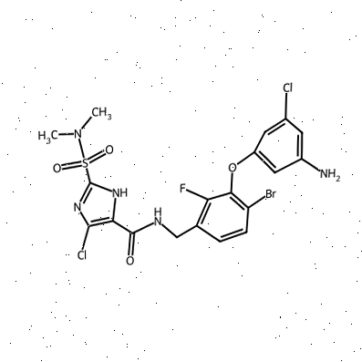 CN(C)S(=O)(=O)c1nc(Cl)c(C(=O)NCc2ccc(Br)c(Oc3cc(N)cc(Cl)c3)c2F)[nH]1